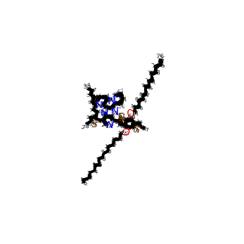 CCCCCCCCCCCCCCCCOc1c2cc(-c3ncc(-c4sc(C)cc4CCCCCCCC)c4nc(-c5ccccn5)c(-c5ccccn5)nc34)sc2c(OCCCCCCCCCCCCCCCC)c2cc(C)sc12